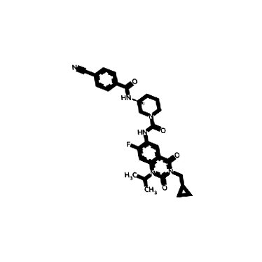 CC(C)n1c(=O)n(CC2CC2)c(=O)c2cc(NC(=O)N3CCC[C@@H](NC(=O)c4ccc(C#N)cc4)C3)c(F)cc21